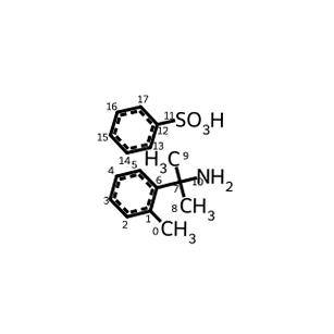 Cc1ccccc1C(C)(C)N.O=S(=O)(O)c1ccccc1